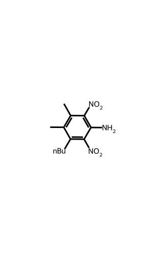 CCCCc1c(C)c(C)c([N+](=O)[O-])c(N)c1[N+](=O)[O-]